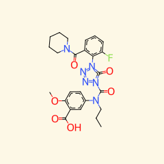 CCCN(C(=O)n1nnn(-c2c(F)cccc2C(=O)N2CCCCC2)c1=O)c1ccc(OC)c(C(=O)O)c1